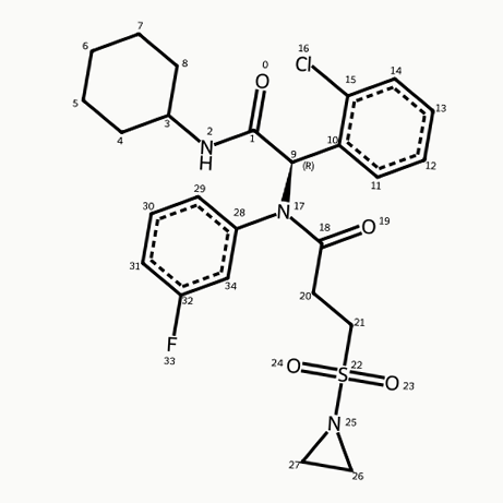 O=C(NC1CCCCC1)[C@@H](c1ccccc1Cl)N(C(=O)CCS(=O)(=O)N1CC1)c1cccc(F)c1